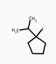 CC(C)C1(I)CCCC1